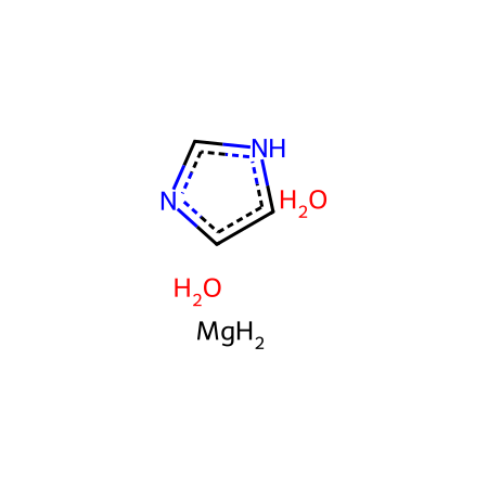 O.O.[MgH2].c1c[nH]cn1